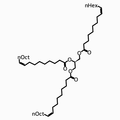 CCCCCC/C=C\CCCCCCCC(=O)OC[C@@H](COC(=O)CCCCCCC/C=C\CCCCCCCC)OC(=O)CCCCCCC/C=C\CCCCCCCC